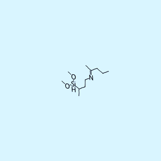 CCCC(C)=NCCC(C)[SiH](OC)OC